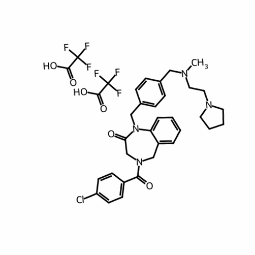 CN(CCN1CCCC1)Cc1ccc(CN2C(=O)CN(C(=O)c3ccc(Cl)cc3)Cc3ccccc32)cc1.O=C(O)C(F)(F)F.O=C(O)C(F)(F)F